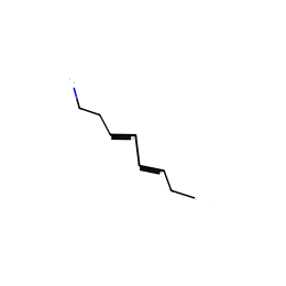 CCC=CC=CCCN